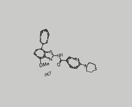 COc1ccc(-c2ccccc2)c2sc(NC(=O)c3ccc(N4CCSCC4)nc3)nc12.Cl